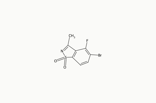 CC1=NS(=O)(=O)c2ccc(Br)c(F)c21